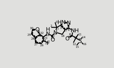 CC1(C)c2[nH]nc(NC(=O)C(C)(C)S(C)(C)C)c2CN1C(=O)Nc1c(F)ccc2ccoc12